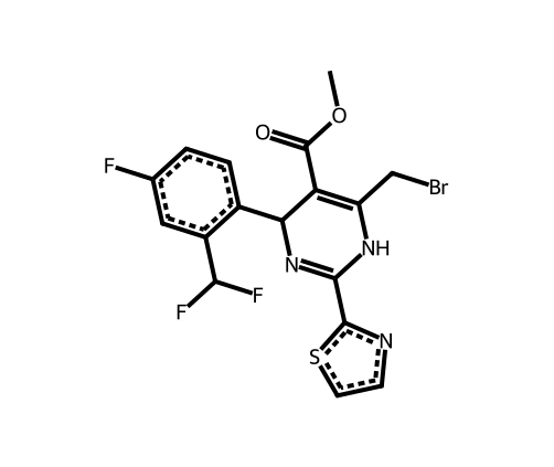 COC(=O)C1=C(CBr)NC(c2nccs2)=NC1c1ccc(F)cc1C(F)F